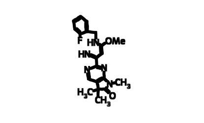 CO/C(=C/C(=N)c1ncc2c(n1)N(C)C(=O)C2(C)C)NCc1ccccc1F